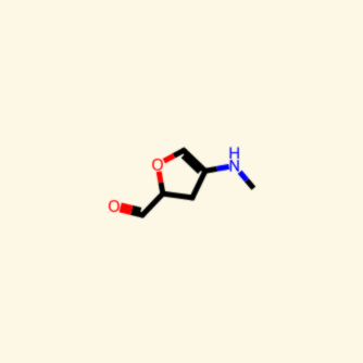 CNC1=COC(C=O)C1